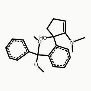 COC(OC)(c1ccccc1)c1ccccc1C1(O)CCC=C1N(C)C